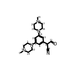 CN1CCN(c2cc(C(C#N)C=O)cc(N3CCN(C)CC3)c2)CC1